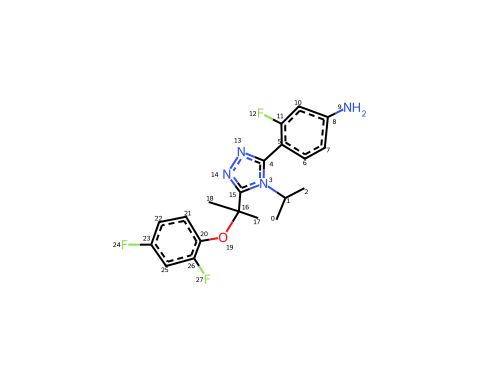 CC(C)n1c(-c2ccc(N)cc2F)nnc1C(C)(C)Oc1ccc(F)cc1F